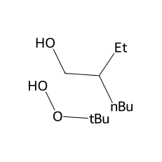 CC(C)(C)OO.CCCCC(CC)CO